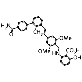 COc1cc(C=Cc2cccc(-c3ccc(C(N)=O)cc3)c2C)cc(OC)c1CNc1cccc(O)c1C(=O)O